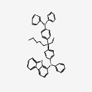 CCCCCC(CC)(c1ccc(N(c2ccccc2)c2ccccc2)cc1)c1ccc(N(c2ccccc2)c2cccc3c2oc2ccccc23)cc1